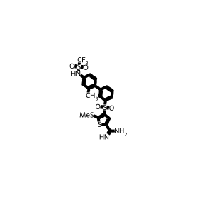 CSc1sc(C(=N)N)cc1S(=O)(=O)c1cccc(-c2ccc(NS(=O)(=O)C(F)(F)F)cc2C)c1